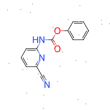 N#Cc1cccc(NC(=O)Oc2ccccc2)n1